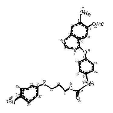 COc1cc2ncnc(Oc3ccc(NC(=O)OCCCSc4ccc(C(C)(C)C)cc4)cc3)c2cc1OC